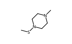 CSN1CCN(C)CC1